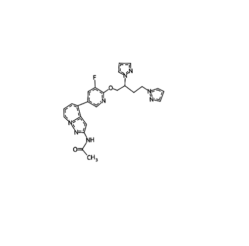 CC(=O)Nc1cc2c(-c3cnc(OCC(CCn4cccn4)n4cccn4)c(F)c3)cccn2n1